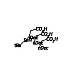 CCCCCCCCCCCC(=O)O.CCCCCCCCCCCC(=O)O.CCCCCCCCCCCC(=O)O.C[C](C)(C)[SnH]